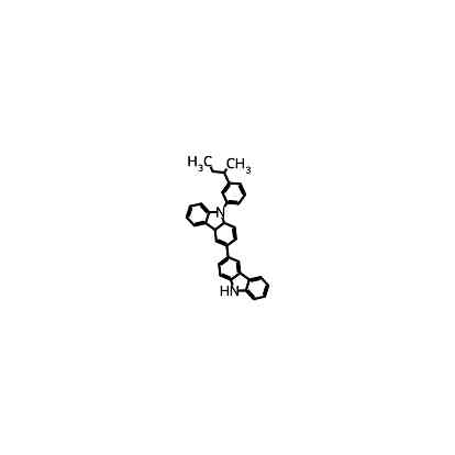 CCC(C)c1cccc(N2c3ccccc3C3C=C(c4ccc5[nH]c6ccccc6c5c4)C=CC32)c1